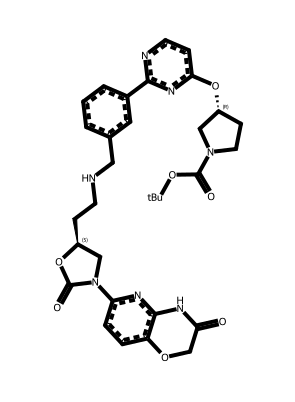 CC(C)(C)OC(=O)N1CC[C@@H](Oc2ccnc(-c3cccc(CNCC[C@H]4CN(c5ccc6c(n5)NC(=O)CO6)C(=O)O4)c3)n2)C1